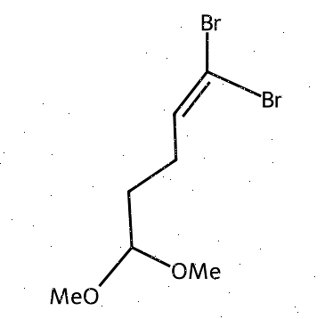 COC(CCC=C(Br)Br)OC